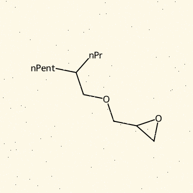 CCCCCC(CCC)COCC1CO1